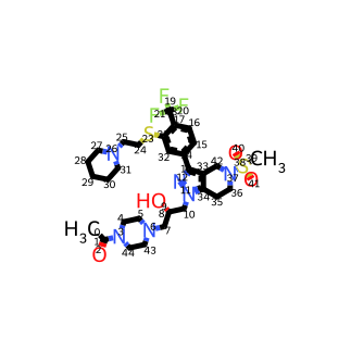 CC(=O)N1CCN(CC(O)Cn2nc(-c3ccc(C(F)(F)F)c(SCCN4CCCCC4)c3)c3c2CCN(S(C)(=O)=O)C3)CC1